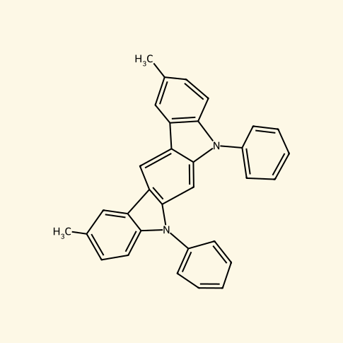 Cc1ccc2c(c1)c1cc3c4cc(C)ccc4n(-c4ccccc4)c3cc1n2-c1ccccc1